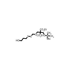 CCOC(=O)C(COCSSCCCO)(CO[Si](C)(C)C(C)(C)C)C(=O)OCC